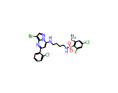 Cc1cc(Cl)cc(F)c1S(=O)(=O)NCCCCNc1cc(-c2ccccc2Cl)nc2c(Br)cnn12